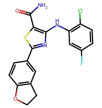 NC(=O)c1sc(-c2ccc3c(c2)CCO3)nc1Nc1cc(F)ccc1Cl